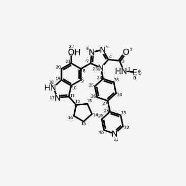 CCNC(=O)c1nnc(-c2cc3c(C4CCCC4)n[nH]c3cc2O)n1-c1ccc(-c2ccncc2)cc1